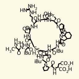 CC[C@H](C)[C@H](NC(=O)[C@H](C)N)C(=O)N[C@H]1CSSC(C)(C)[C@@H](C(=O)N[C@H](C(=O)N2CCC[C@H]2C(=O)N[C@@H](CC(=O)O)C(=O)O)[C@@H](C)CC)NC(=O)[C@H]([C@@H](C)CC)NC(=O)[C@@H]2CC3CCCCC3N2C(=O)[C@@H]2C=CCN2C(=O)[C@H](CC(C)C)NC(=O)[C@H](CO)NC(=O)[C@H](CCCNC(=N)N)NC(=O)[C@H](CO)NC1=O